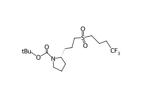 CC(C)(C)OC(=O)N1CCC[C@H]1CCCS(=O)(=O)CCCC(F)(F)F